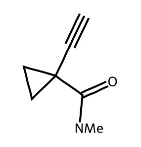 C#CC1(C(=O)NC)CC1